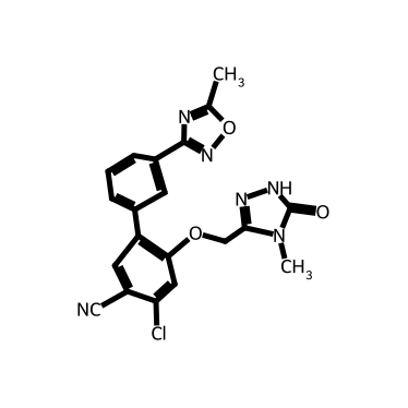 Cc1nc(-c2cccc(-c3cc(C#N)c(Cl)cc3OCc3n[nH]c(=O)n3C)c2)no1